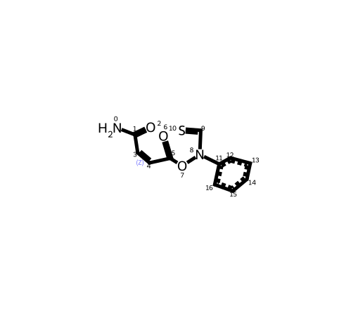 NC(=O)/C=C\C(=O)ON(C=S)c1ccccc1